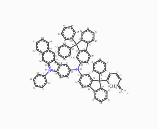 C=C/C=C\C=C(/C)C1(c2ccccc2)c2ccccc2-c2ccc(N(c3ccc4c(c3)C(c3ccccc3)(c3ccccc3)c3ccccc3-4)c3ccc4c(c3)c3cc5ccccc5cc3n4-c3ccccc3)cc21